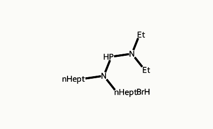 Br.CCCCCCCN(CCCCCCC)PN(CC)CC